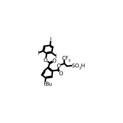 CC(C)(C)c1ccc(C(=O)Oc2c(I)cc(I)cc2I)c(C(=O)OC(CS(=O)(=O)O)C(F)(F)F)c1